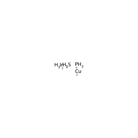 P.S.[Cu].[InH3]